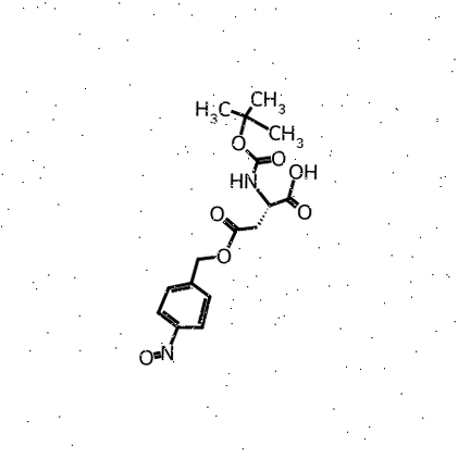 CC(C)(C)OC(=O)N[C@@H](CC(=O)OCc1ccc(N=O)cc1)C(=O)O